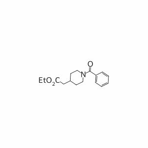 CCOC(=O)CC1CCN(C(=O)c2ccccc2)CC1